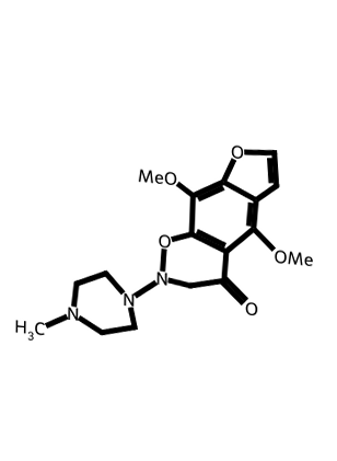 COc1c2c(c(OC)c3occc13)ON(N1CCN(C)CC1)CC2=O